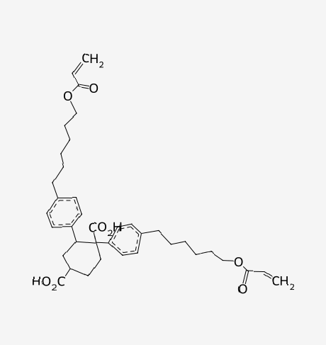 C=CC(=O)OCCCCCCc1ccc(C2CC(C(=O)O)CCC2(C(=O)O)c2ccc(CCCCCCOC(=O)C=C)cc2)cc1